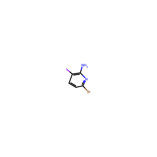 Nc1nc(Br)ccc1I